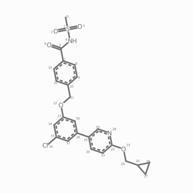 CS(=O)(=O)NC(=O)c1ccc(COc2cc(Cl)cc(-c3ccc(OCC4CC4)nc3)c2)cc1